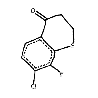 O=C1CCSc2c1ccc(Cl)c2F